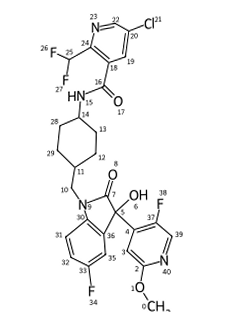 COc1cc(C2(O)C(=O)N(CC3CCC(NC(=O)c4cc(Cl)cnc4C(F)F)CC3)c3ccc(F)cc32)c(F)cn1